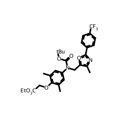 CCOC(=O)COc1c(C)cc(N(Cc2oc(-c3ccc(C(F)(F)F)cc3)nc2C)C(=O)OC(C)(C)C)cc1C